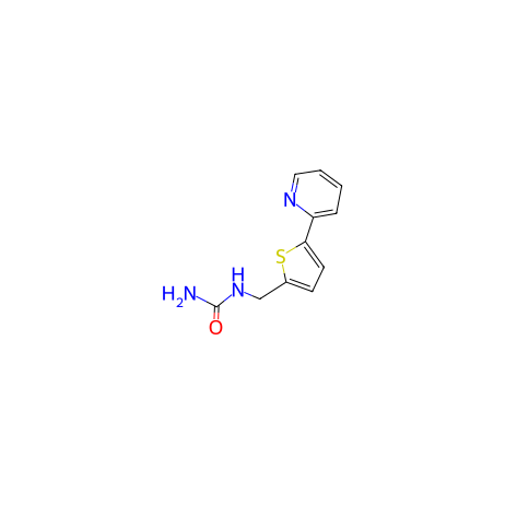 NC(=O)NCc1ccc(-c2ccccn2)s1